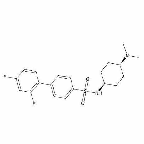 CN(C)[C@H]1CC[C@@H](NS(=O)(=O)c2ccc(-c3ccc(F)cc3F)cc2)CC1